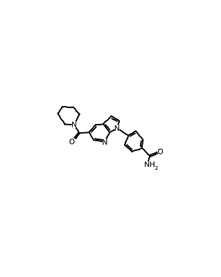 NC(=O)c1ccc(-n2ccc3cc(C(=O)N4CCCCC4)cnc32)cc1